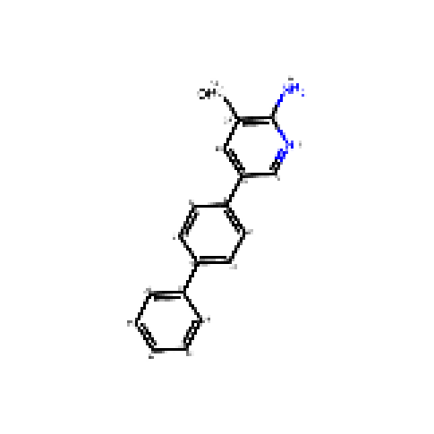 Nc1ncc(-c2ccc(-c3ccccc3)cc2)cc1C=O